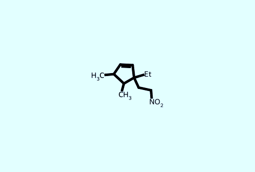 CCC1(CC[N+](=O)[O-])C=CC(C)C1C